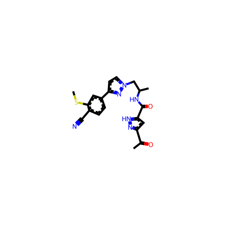 CSc1cc(-c2ccn(CC(C)NC(=O)c3cc(C(C)=O)n[nH]3)n2)ccc1C#N